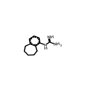 N=C(N)Nc1cccc2c1CCCCC2